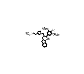 COc1cc([C@@H](O)[C@@H](CC2Cc3ccccc3C2)Cn2ccc(CCC(=O)O)c2)cc(OC)c1C(C)=O